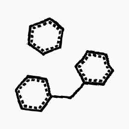 [c]1ccccc1.c1ccc(Cc2ccccc2)cc1